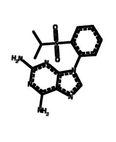 CC(C)S(=O)(=O)c1ccccc1-n1cnc2c(N)nc(N)nc21